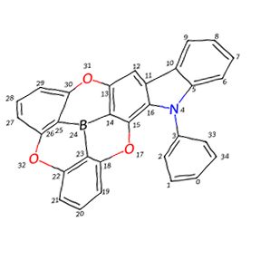 c1ccc(-n2c3ccccc3c3cc4c5c(c32)Oc2cccc3c2B5c2c(cccc2O4)O3)cc1